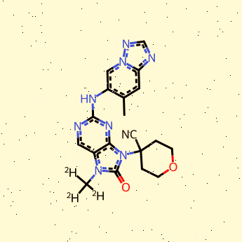 [2H]C([2H])([2H])n1c(=O)n(C2(C#N)CCOCC2)c2nc(Nc3cn4ncnc4cc3C)ncc21